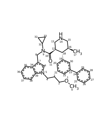 COCCCn1cc(CN(C(=O)[C@H]2CNC[C@@H](C)[C@@H]2c2cccc(-c3ccccc3)c2)C2CC2)c2ccccc21